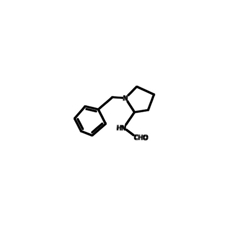 O=CNC1CCCN1Cc1ccccc1